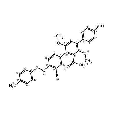 COc1cc(-c2ccc(O)cc2)c(OC)c(C(=O)O)c1-c1ccc(OCc2ccc(C)cc2)c(F)c1